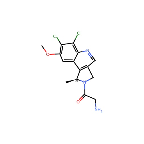 COc1cc2c3c(cnc2c(Cl)c1Cl)CN(C(=O)CN)[C@H]3C